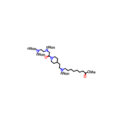 CCCCCCCCCN(CCCCCCCC(=O)OC)CCC1CCN(C(=O)CN(CCCCCCCCC)CCN(CCCCCCCCC)CCCCCCCCC)CC1